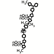 CCCCCCCCC1(CCCCCCCC)c2cc(C)ccc2-c2ccc(-c3ccc(-c4nnc(-c5ccc(C(C)(C)c6ccc7c(c6)C(CCCCCCCC)(CCCCCCCC)c6cc(-c8ccc(N(c9ccccc9)c9ccc(C)cc9)cc8)ccc6-7)cc5)o4)cc3)cc21